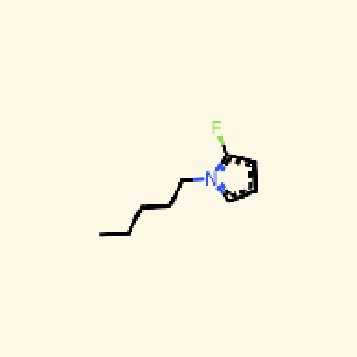 CCCCCn1cccc1F